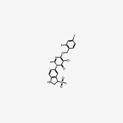 Cc1nc(OCc2ccc(F)cc2F)c(Cl)c(=O)n1-c1ccc2c(c1)C(S(C)(=O)=O)CN2